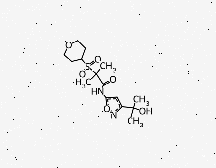 CC(C)(O)c1cc(NC(=O)C(C)(C)S(=O)(=O)C2CCOCC2)on1